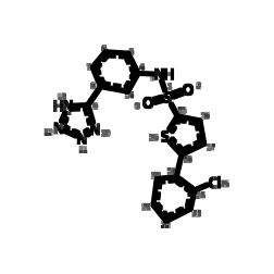 O=S(=O)(Nc1cccc(-c2nnn[nH]2)c1)c1ccc(-c2ccccc2Cl)s1